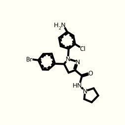 Nc1ccc(N2N=C(C(=O)NN3CCCC3)CC2c2ccc(Br)cc2)c(Cl)c1